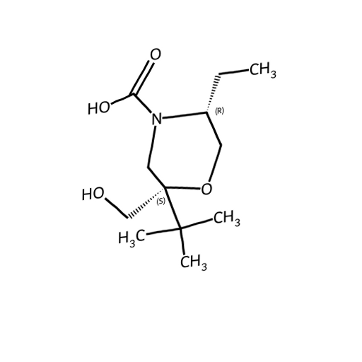 CC[C@@H]1CO[C@@](CO)(C(C)(C)C)CN1C(=O)O